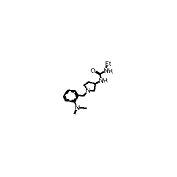 CCNC(=O)NC1CCN(Cc2ccccc2N(C)C)C1